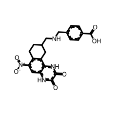 O=C(O)c1ccc(CNCC2CCc3c([N+](=O)[O-])cc4[nH]c(=O)c(=O)[nH]c4c3C2)cc1